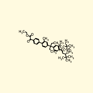 CCOC(=O)C(=O)c1ccc(-c2ccc(C(CC)(CC)c3ccc(CCC(O[Si](C)(C)C(C)(C)C)C(C)(C)C)c(C)c3)cc2C)cc1